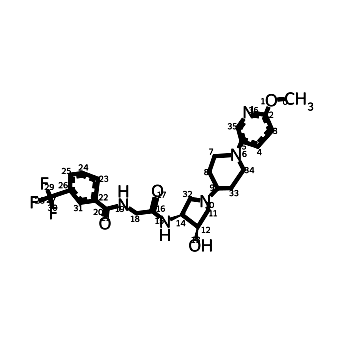 COc1ccc(N2CCC(N3C[C@@H](O)[C@@H](NC(=O)CNC(=O)c4cccc(C(F)(F)F)c4)C3)CC2)cn1